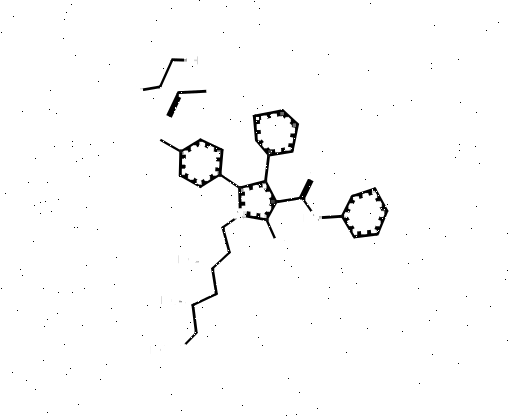 C=CC.CC(C)c1c(C(=O)Nc2ccccc2)c(-c2ccccc2)c(-c2ccc(F)cc2)n1CC[C@@H](O)C[C@@H](O)CC(=O)O.OCCO